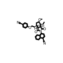 CC[C@@]12O[C@@](CCOc3ccc(C#N)cc3)(C[C@H]1OC)[C@@H]1C(=O)N(c3ccc(C#N)c4ccccc34)C(=O)[C@@H]12